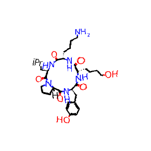 CC(C)C[C@H]1NC(=O)[C@H](CCCCN)NC(=O)[C@H](CCCCO)NC(=O)[C@@H](Cc2ccc(O)cc2)NC(=O)[C@@H]2CCCN2C1=O